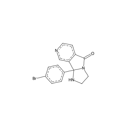 O=C1c2ccncc2C2(c3ccc(Br)cc3)NCCN12